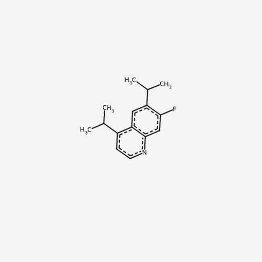 CC(C)c1cc2c(C(C)C)ccnc2cc1F